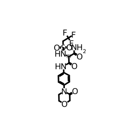 NC(=O)[C@H](NS(=O)(=O)CC(F)(F)F)C(=O)Nc1ccc(N2CCOCC2=O)cc1